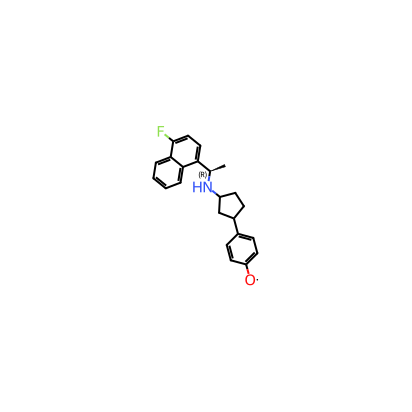 C[C@@H](NC1CCC(c2ccc([O])cc2)C1)c1ccc(F)c2ccccc12